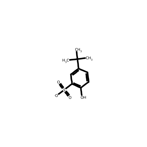 CC(C)(C)c1ccc(O)c(S([O])(=O)=O)c1